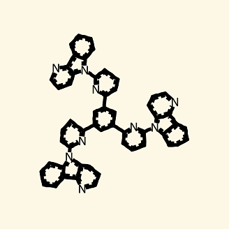 c1cc(-c2cc(-c3cccc(-n4c5ccccc5c5ncccc54)n3)cc(-c3cccc(-n4c5ccccc5c5ncccc54)n3)c2)nc(-n2c3ccccc3c3ncccc32)c1